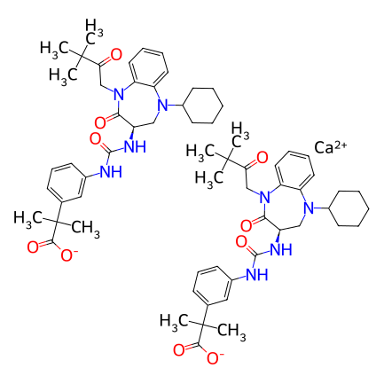 CC(C)(C)C(=O)CN1C(=O)[C@H](NC(=O)Nc2cccc(C(C)(C)C(=O)[O-])c2)CN(C2CCCCC2)c2ccccc21.CC(C)(C)C(=O)CN1C(=O)[C@H](NC(=O)Nc2cccc(C(C)(C)C(=O)[O-])c2)CN(C2CCCCC2)c2ccccc21.[Ca+2]